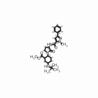 COC(=O)C1CC(NC(C)(C)C)CCC1N1CC[C@H](NC(=O)c2cc(-c3ccccc3)nn2C)C1=O